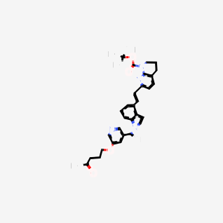 C=C(c1cncc(OCCCC(C)=O)c1)n1ccc2c(/C=C/c3ccc4c(n3)N(C(=O)OC(C)(C)C)CCC4)cccc21